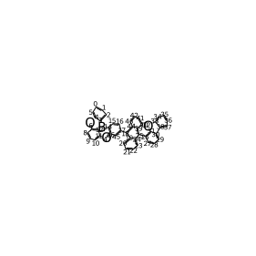 c1ccc2c(c1)Oc1cccc3c1B2c1ccc(-c2c4ccccc4c(-c4cccc5c4oc4ccccc45)c4ccccc24)cc1O3